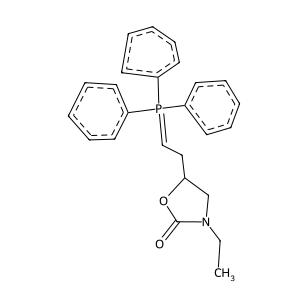 CCN1CC(CC=P(c2ccccc2)(c2ccccc2)c2ccccc2)OC1=O